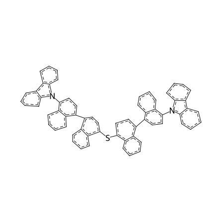 c1ccc2c(-c3ccc(-n4c5ccccc5c5ccccc54)c4ccccc34)ccc(Sc3ccc(-c4ccc(-n5c6ccccc6c6ccccc65)c5ccccc45)c4ccccc34)c2c1